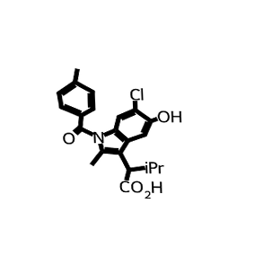 Cc1ccc(C(=O)n2c(C)c(C(C(=O)O)C(C)C)c3cc(O)c(Cl)cc32)cc1